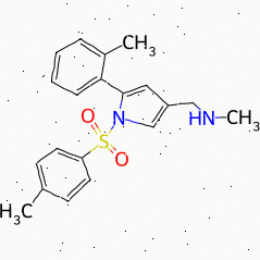 CNCc1cc(-c2ccccc2C)n(S(=O)(=O)c2ccc(C)cc2)c1